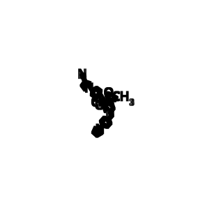 CCN1C(=O)N(c2ccc(-n3ccc(C#N)c3)cc2Cl)C(=O)C12CCN(Cc1ccc(N3CCCC3)cc1)CC2